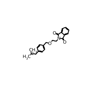 CN(C)Cc1ccc(COCCN2C(=O)c3ccccc3C2=O)cc1